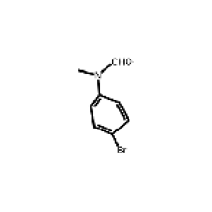 CN([C]=O)c1ccc(Br)cc1